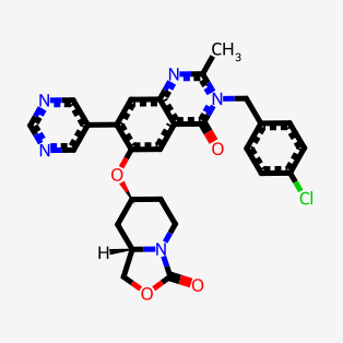 Cc1nc2cc(-c3cncnc3)c(O[C@H]3CCN4C(=O)OC[C@@H]4C3)cc2c(=O)n1Cc1ccc(Cl)cc1